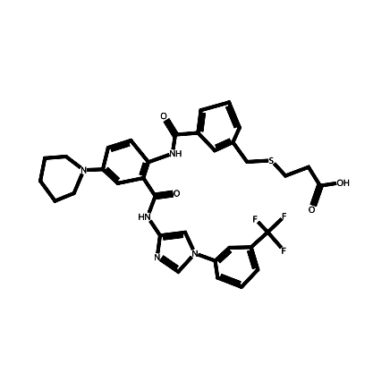 O=C(O)CCSCc1cccc(C(=O)Nc2ccc(N3CCCCC3)cc2C(=O)Nc2cn(-c3cccc(C(F)(F)F)c3)cn2)c1